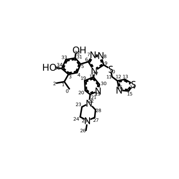 CC(C)c1cc(-c2nnc(SCc3cscn3)n2-c2ccc(N3CCN(C)CC3)nc2)c(O)cc1O